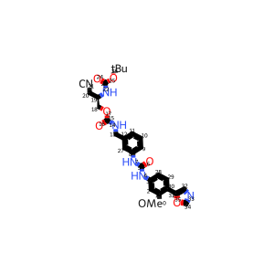 COc1cc(NC(=O)Nc2cccc(CNC(=O)OC[C@@H](CC#N)NC(=O)OC(C)(C)C)c2)ccc1-c1cnco1